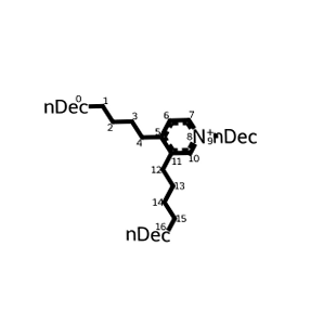 CCCCCCCCCCCCCCc1cc[n+](CCCCCCCCCC)cc1CCCCCCCCCCCCCC